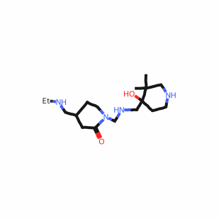 CCNCC1CCN(CNCC2(O)CCNCC2(C)C)C(=O)C1